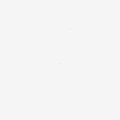 COc1cccc2cc(C(=O)c3ccncc3)oc12